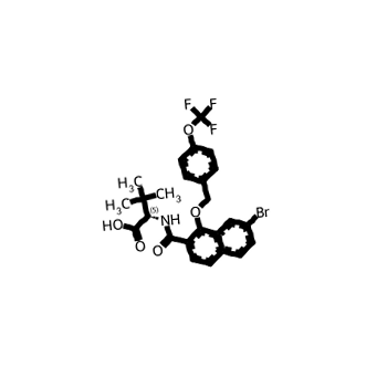 CC(C)(C)[C@H](NC(=O)c1ccc2ccc(Br)cc2c1OCc1ccc(OC(F)(F)F)cc1)C(=O)O